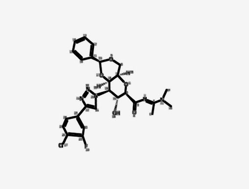 C/C(=N\C(=O)[C@@H]1O[C@@H]2CO[C@H](c3ccccc3)O[C@@H]2[C@H](n2cc(-c3ccc(Cl)c(F)c3)nn2)[C@H]1O)N(C)C